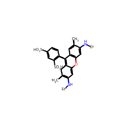 CCNC1=C(C)CC2=C(c3ccc(S(=O)(=O)O)cc3S(=O)(=O)O)c3cc(C)c(NCC)cc3OC2=C1